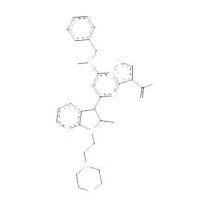 CC1C(c2cc(N(C)Cc3ccccc3)n3ncc(C(=O)O)c3n2)c2cccnc2N1CCN1CCOCC1